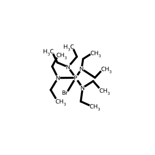 CCN(CC)P(Br)(N(CC)CC)(N(CC)CC)N(CC)CC